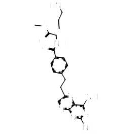 COC(=O)[C@H](CCCN)NC(=O)c1ccc(CCc2cnc3nc(N)nc(N)c3n2)cc1